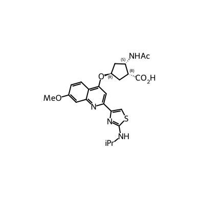 COc1ccc2c(O[C@H]3C[C@H](NC(C)=O)[C@H](C(=O)O)C3)cc(-c3csc(NC(C)C)n3)nc2c1